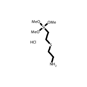 CO[Si](CCSCCN)(OC)OC.Cl